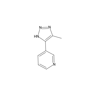 Cc1nn[nH]c1-c1cccnc1